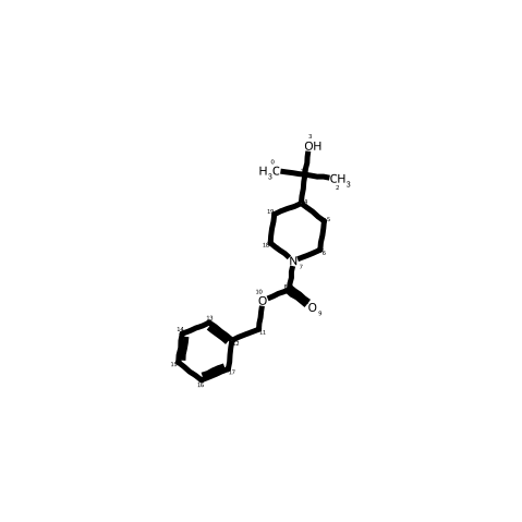 CC(C)(O)C1CCN(C(=O)OCc2ccccc2)CC1